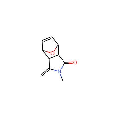 C=C1C2C3C=CC(O3)C2C(=O)N1C